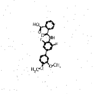 COc1ccc(-c2cc(F)c(NC(=O)c3ccccc3C(=O)O)c(F)c2)cc1OC